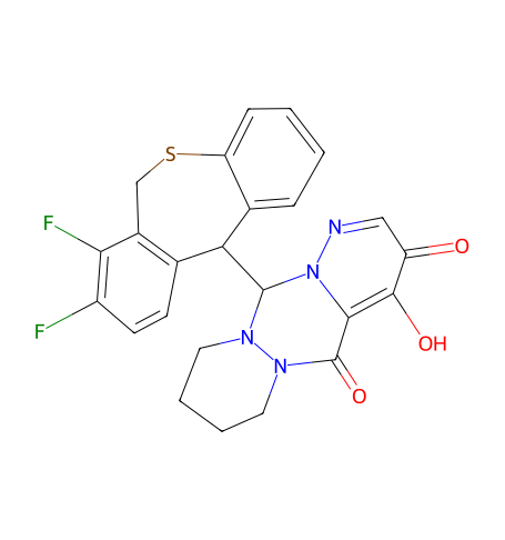 O=C1c2c(O)c(=O)cnn2C(C2c3ccccc3SCc3c2ccc(F)c3F)N2CCCCN12